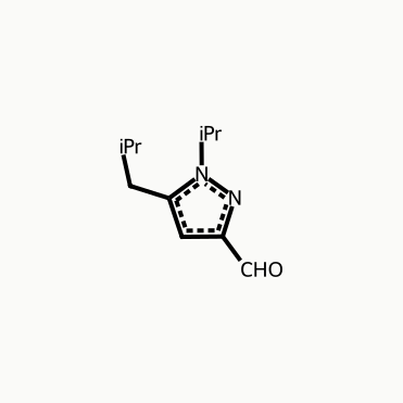 CC(C)Cc1cc(C=O)nn1C(C)C